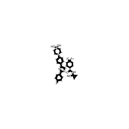 N#CC1(NC(=O)[C@@H]2CCC(F)(F)C[C@H]2c2oc(-c3ccc(F)cc3)nc2-c2ccc(N3CCS(O)(O)CC3)cc2)CC1